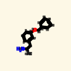 CC(=O)C(N)Cc1cccc(OCc2ccccc2)c1